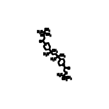 CC(C)(C)NCC(=O)N1CCC(C(C)(C)CCC(C)(C)C2CCN(C(=O)COC(C)(C)C)CC2)CC1